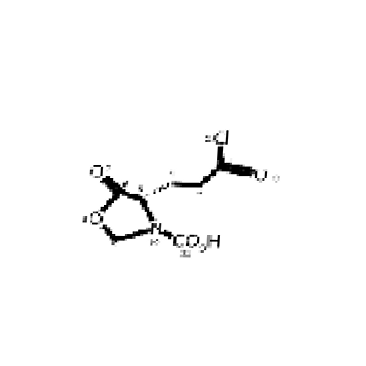 O=C(Cl)CC[C@H]1C(=O)OCN1C(=O)O